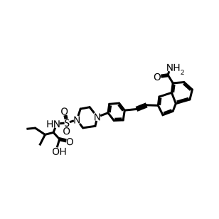 CCC(C)C(NS(=O)(=O)N1CCN(c2ccc(C#Cc3ccc4cccc(C(N)=O)c4c3)cc2)CC1)C(=O)O